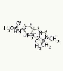 C=C1N(C)CN(Cc2ccc(NC(C)=O)cc2)C1(C)C